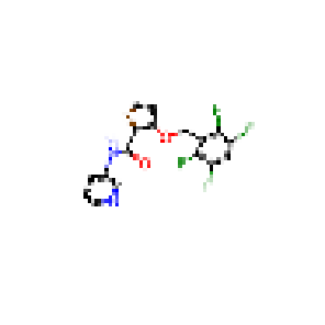 O=C(Nc1cccnc1)c1sccc1OCc1c(F)c(F)cc(F)c1F